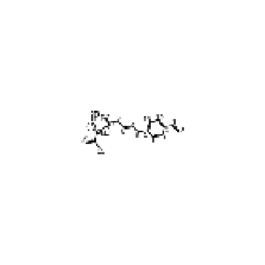 C=Cc1ccc(CC=CCC(OC(=O)C(=C)C)C(C)C)cc1